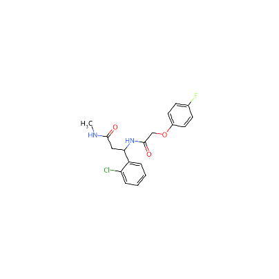 CNC(=O)CC(NC(=O)COc1ccc(F)cc1)c1ccccc1Cl